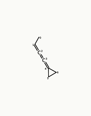 CC=C=C=C1CC1